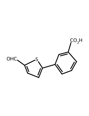 O=Cc1ccc(-c2cccc(C(=O)O)c2)s1